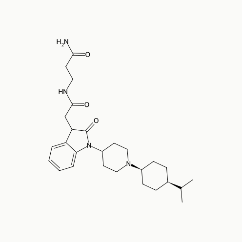 CC(C)[C@H]1CC[C@@H](N2CCC(N3C(=O)C(CC(=O)NCCC(N)=O)c4ccccc43)CC2)CC1